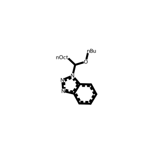 CCCCCCCCC(OCCCC)n1nnc2ccccc21